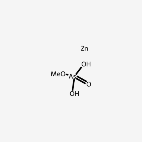 CO[As](=O)(O)O.[Zn]